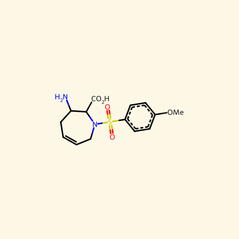 COc1ccc(S(=O)(=O)N2CC=CCC(N)C2C(=O)O)cc1